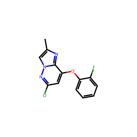 Cc1cn2nc(Cl)cc(Oc3ccccc3F)c2n1